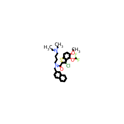 CCN(CC)CCCCN(Cc1ccc2ccccc2c1)C(=O)c1sc2ccc(OC)c(OC(F)F)c2c1Cl